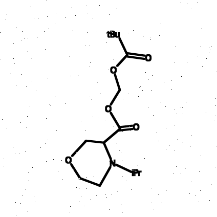 CC(C)N1CCOCC1C(=O)OCOC(=O)C(C)(C)C